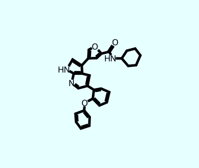 O=C(NC1CCCCC1)c1cc(-c2c[nH]c3ncc(-c4ccccc4Oc4ccccc4)cc23)co1